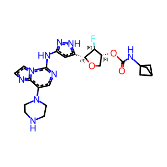 O=C(NC12CC(C1)C2)O[C@@H]1CO[C@H](c2cc(Nc3ncc(N4CCNCC4)c4nccn34)n[nH]2)[C@H]1F